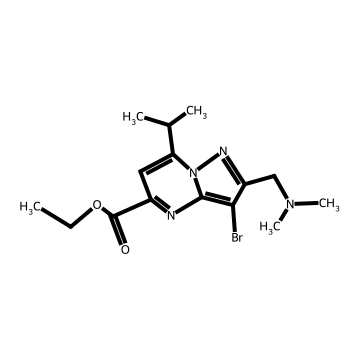 CCOC(=O)c1cc(C(C)C)n2nc(CN(C)C)c(Br)c2n1